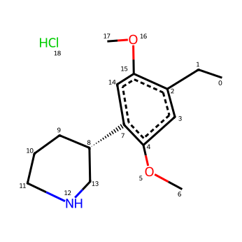 CCc1cc(OC)c([C@H]2CCCNC2)cc1OC.Cl